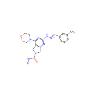 CCNC(=O)N1Cc2nc(N/N=C/c3cccc(C)c3)nc(N3CCOCC3)c2C1